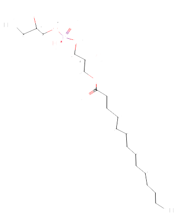 CCCCCCCCCCCCCC(=O)OC[C@@H](O)COP(=O)(O)OCC(O)CC